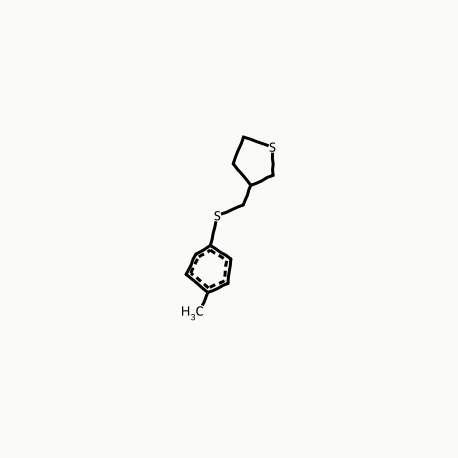 Cc1ccc(SCC2CCSC2)cc1